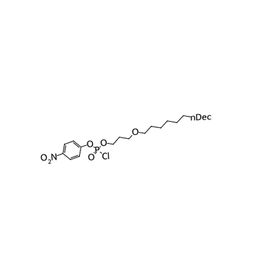 CCCCCCCCCCCCCCCCOCCCOP(=O)(Cl)Oc1ccc([N+](=O)[O-])cc1